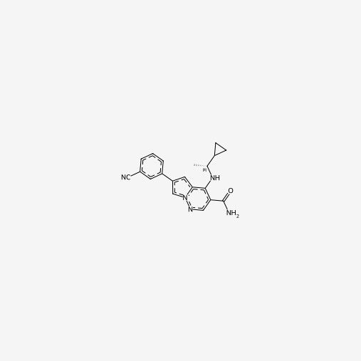 C[C@@H](Nc1c(C(N)=O)cnn2cc(-c3cccc(C#N)c3)cc12)C1CC1